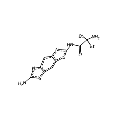 CCC(N)(CC)C(=O)Nc1nc2cc3nc(N)sc3cc2s1